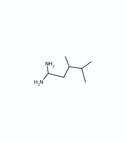 CC(C)C(C)CC(N)N